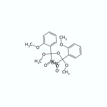 COc1ccccc1C(OC)(OC(OC)(c1ccccc1OC)[N+](=O)[O-])[N+](=O)[O-]